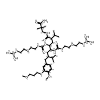 COCCCOc1cc(CC(CC(NC(=O)OCCOCCON(O)O)C(CC(C(=O)NCC(C)(C)C(N)=O)C(C)C)OC(=O)OCCOCCON(O)O)C(C)C)ccc1OC